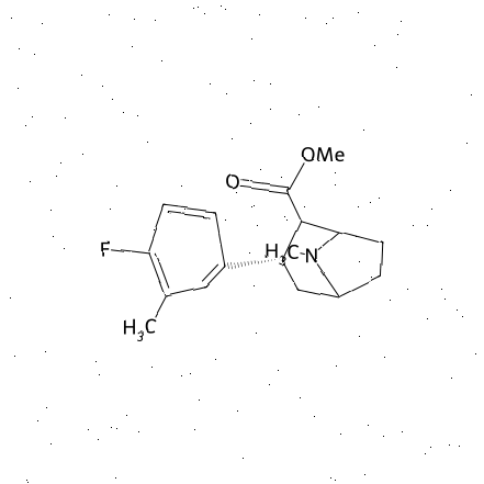 COC(=O)C1C2CCC(C[C@@H]1c1ccc(F)c(C)c1)N2C